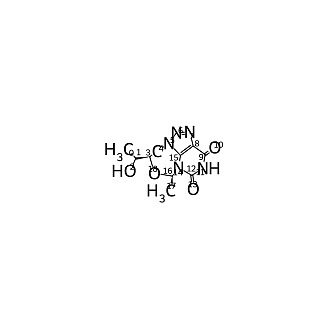 CC(O)[C@H]1Cn2nnc3c(=O)[nH]c(=O)n(c32)[C@@H](C)O1